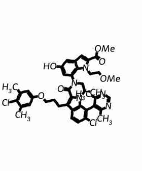 COCCn1c(C(=O)OC)cc2cc(O)cc(N3C[C@@H](C)n4c(c(CCCOc5cc(C)c(Cl)c(C)c5)c5ccc(Cl)c(-c6c(C)ncnc6C)c54)C3=O)c21